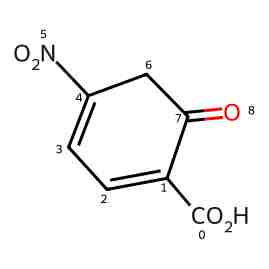 O=C(O)C1=CC=C([N+](=O)[O-])CC1=O